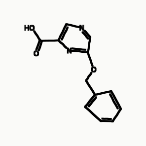 O=C(O)c1cncc(OCc2ccccc2)n1